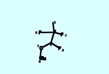 CC(C)(C)OC(F)C(C)(F)F